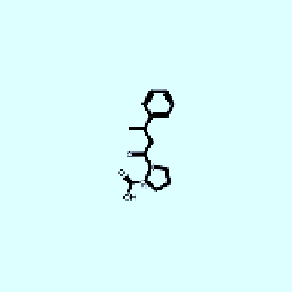 CC(CC(=O)N1CCC[C@H]1C(=O)O)c1ccccc1